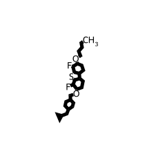 CCCCCOC1CCC2C3CCC(OCC4CCC(CC5CC5)CC4)C(F)C3SC2C1F